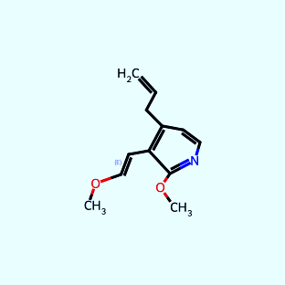 C=CCc1ccnc(OC)c1/C=C/OC